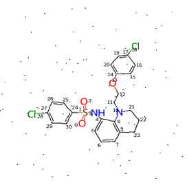 O=S(=O)(Nc1cccc2c1N(CCOc1ccc(Cl)cc1)CCC2)c1ccc(Cl)cc1